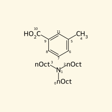 CCCCCCCCN(CCCCCCCC)CCCCCCCC.Cc1cccc(C(=O)O)c1